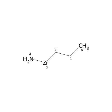 CC[CH2][Zr][NH2]